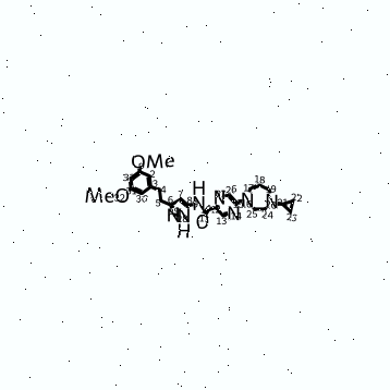 COc1cc(CCc2cc(NC(=O)c3cnc(N4CCCN(C5CC5)CC4)cn3)[nH]n2)cc(OC)c1